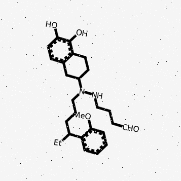 CCC(CCCN(NCCCC=O)C1CCc2c(ccc(O)c2O)C1)c1ccccc1OC